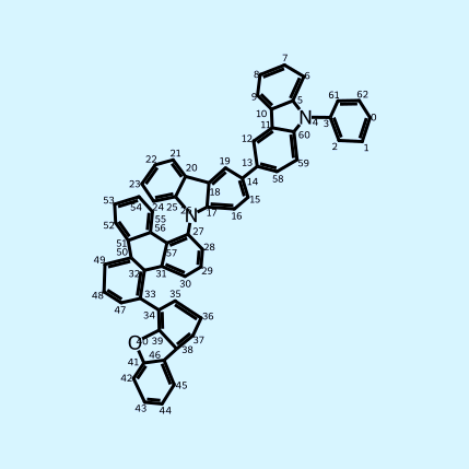 c1ccc(-n2c3ccccc3c3cc(-c4ccc5c(c4)c4ccccc4n5-c4cccc5c6c(-c7cccc8c7oc7ccccc78)cccc6c6ccccc6c45)ccc32)cc1